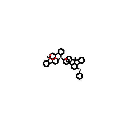 CC1(C)c2ccccc2-c2ccc(N(c3ccc(-c4ccc(Oc5ccccc5)c5c4C(C)(c4ccccc4)c4ccccc4-5)cc3)c3ccccc3-c3ccccc3)cc21